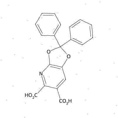 O=C(O)c1cc2c(nc1C(=O)O)OC(c1ccccc1)(c1ccccc1)O2